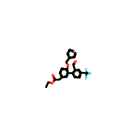 CCOC(=O)Cc1ccc(OCc2ccccc2)c(-c2ccc(C(F)(F)F)cc2C=O)c1